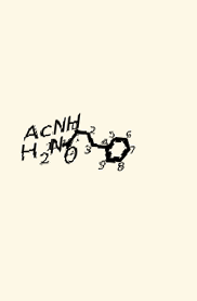 CC(=O)NC(CCc1ccccc1)C(N)=O